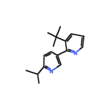 CC(C)c1ccc(-c2ncccc2C(C)(C)C)cn1